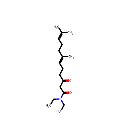 CCN(CC)C(=O)CC(=O)CC/C=C(\C)CCC=C(C)C